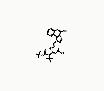 CC(C)(C)OC(=O)N(C(=NC(=O)O)NCCn1cnc2c(N)nc3cccnc3c21)C(C)(C)C